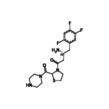 N[C@@H](CC(=O)N1CCSC1C(=O)N1CCNCC1)Cc1cc(F)c(F)cc1F